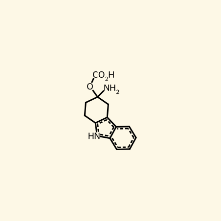 NC1(OC(=O)O)CCc2[nH]c3ccccc3c2C1